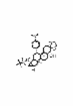 CN(C)c1ccc([C@H]2C[C@@]3(C)[C@@H](C[C@H]4C[C@]43O[Si](C)(C)C(C)(C)C)[C@@H]3CC[C@@]4(O)CC5(CCC4=C32)OCCO5)cc1